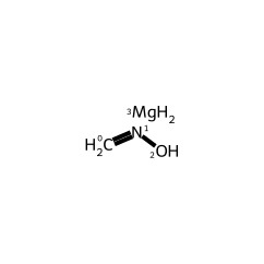 C=NO.[MgH2]